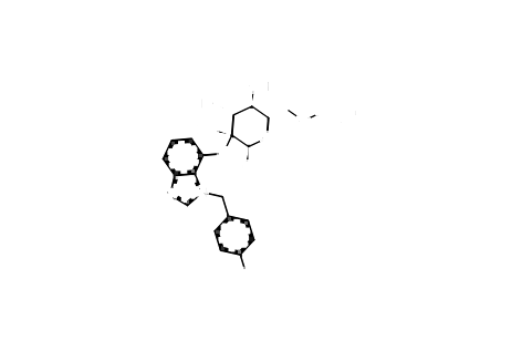 CCOC(=O)OC[C@@H]1O[C@@H](O)[C@](O)(Oc2cccc3ncn(Cc4ccc(CC)cc4)c23)[C@H](O)[C@H]1O